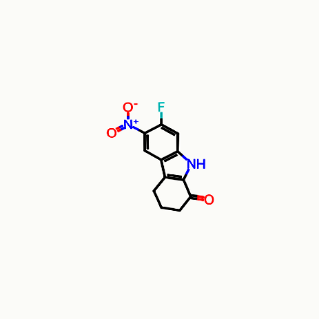 O=C1CCCc2c1[nH]c1cc(F)c([N+](=O)[O-])cc21